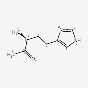 CC(=O)[C@@H](C)CCc1c[nH]cn1